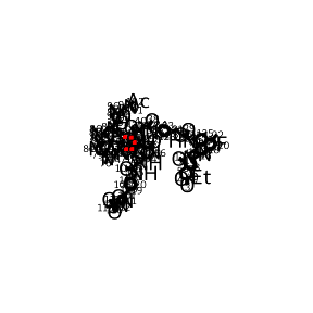 CC[C@H]1C(=O)OCc2c1cc1n(c2=O)Cc2c-1nc1cc(F)c(C)c3c1c2[C@@H](NC(=O)OCc1ccc(NC(=O)[C@H](C)NC(=O)[C@@H](NC(=O)CC[C@@H](NC(=O)CN(C)C(=O)CN(C)C(=O)CN(C)C(=O)CN(C)C(=O)CN(C)C(=O)CN(C)C(=O)CN(C)C(=O)CN(C)C(=O)CN(C)C(=O)CN(C)C(C)=O)C(=O)Nc2ccc(-c4nnc(S(C)(=O)=O)o4)cc2)C(C)C)cc1)CC3